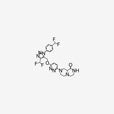 O=C1NCCN2CCN(c3ccc(OCc4c(C(F)F)nnn4-c4ccc(C(F)F)cc4)nn3)CC12